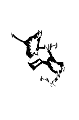 Cn1ncc(Nc2ncc(I)cn2)c1C1CC1